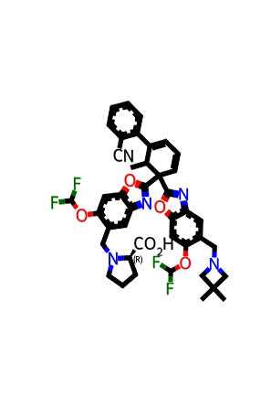 CC1C(c2ccccc2C#N)=CC=CC1(c1nc2cc(CN3CC(C)(C)C3)c(OC(F)F)cc2o1)c1nc2cc(CN3CCC[C@@H]3C(=O)O)c(OC(F)F)cc2o1